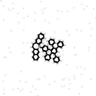 C1=c2ccccc2=CC2C1CCc1cc3ccccc3cc1N2c1ccc2c(c1)c1ccccc1c1c(-c3ccccc3)cc(-c3ccccc3)c(-c3ccccc3)c21